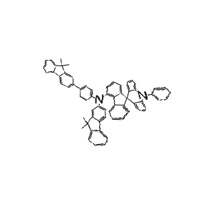 CC1(C)c2ccccc2-c2ccc(-c3ccc(N(c4ccc5c(c4)C(C)(C)c4ccccc4-5)c4cccc5c4-c4ccccc4C54c5ccccc5N(c5ccccc5)c5ccccc54)cc3)cc21